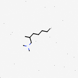 CCC(C)CCCCC(C)CN(C)C